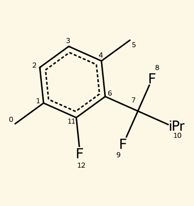 Cc1ccc(C)c(C(F)(F)C(C)C)c1F